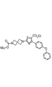 CCOC(=O)c1sc(N2CC3(CN(C(=O)OC(C)(C)C)C3)C2)nc1-c1ccc(Oc2ccccc2)cc1